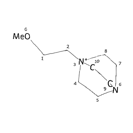 COCC[N+]12CCN(CC1)CC2